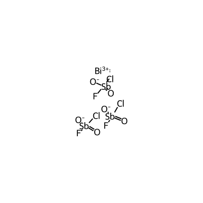 [Bi+3].[O]=[Sb]([O-])([F])[Cl].[O]=[Sb]([O-])([F])[Cl].[O]=[Sb]([O-])([F])[Cl]